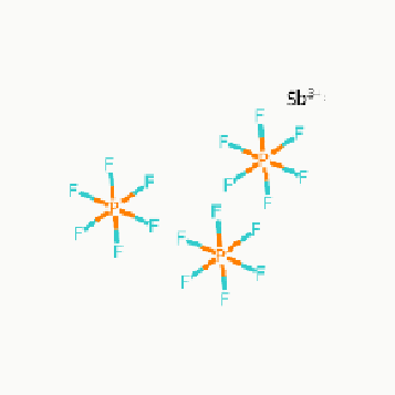 F[P-](F)(F)(F)(F)F.F[P-](F)(F)(F)(F)F.F[P-](F)(F)(F)(F)F.[Sb+3]